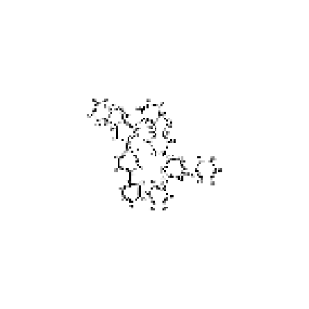 c1ccc(-c2ccc(-c3cc(-c4cccc5oc6cc(-c7nc(-c8ccccc8)nc(-c8ccccc8)n7)ccc6c45)c4sc5ccccc5c4c3)cc2)cc1